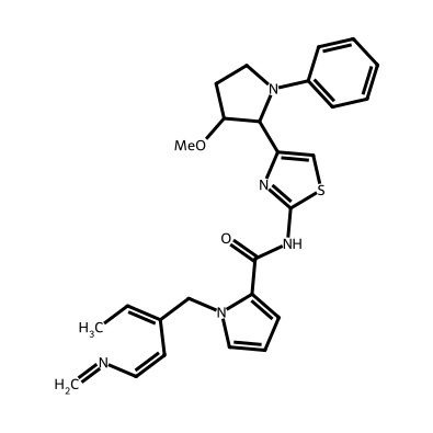 C=N/C=C\C(=C/C)Cn1cccc1C(=O)Nc1nc(C2C(OC)CCN2c2ccccc2)cs1